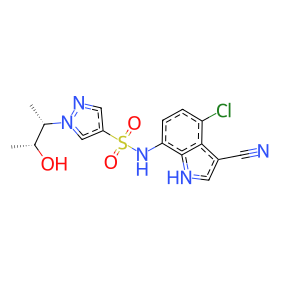 C[C@@H](O)[C@H](C)n1cc(S(=O)(=O)Nc2ccc(Cl)c3c(C#N)c[nH]c23)cn1